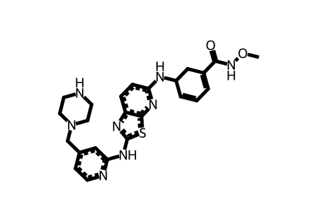 CONC(=O)C1=CC=CC(Nc2ccc3nc(Nc4cc(CN5CCNCC5)ccn4)sc3n2)C1